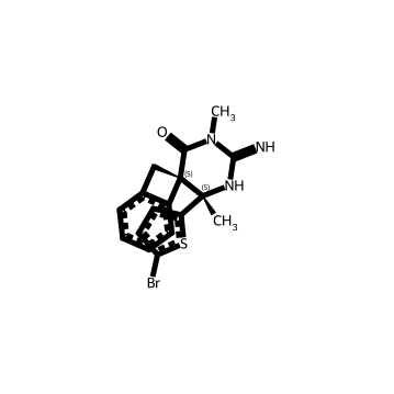 CN1C(=N)N[C@](C)(c2ccc(Br)s2)[C@@]2(Cc3ccccc32)C1=O